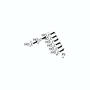 CC(=O)O.CC(=O)O.CC(=O)O.CC(=O)O.CC(=O)O.CC(=O)O.CC(=O)O.CC(=O)O.[Pt]